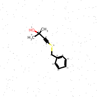 CC(C)(O)C#CSCc1ccccc1